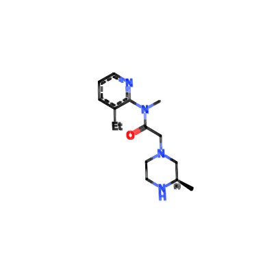 CCc1cccnc1N(C)C(=O)CN1CCN[C@H](C)C1